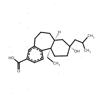 CC[C@@]12CC[C@](O)(CC(C)C)C[C@@H]1CCCc1cc(C(=O)O)ccc12